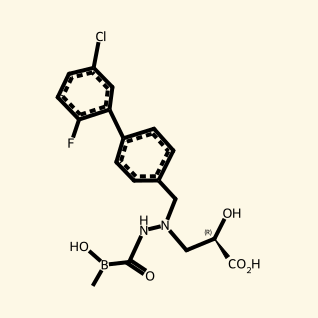 CB(O)C(=O)NN(Cc1ccc(-c2cc(Cl)ccc2F)cc1)C[C@@H](O)C(=O)O